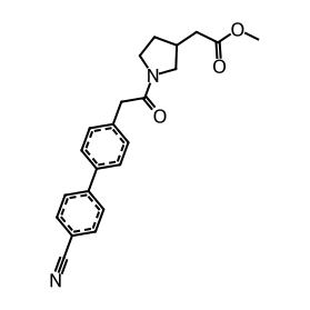 COC(=O)CC1CCN(C(=O)Cc2ccc(-c3ccc(C#N)cc3)cc2)C1